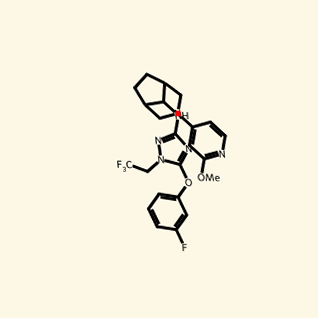 COc1cc(N2CC3CCC(C2)C3Nc2nc(Oc3cccc(F)c3)n(CC(F)(F)F)n2)ccn1